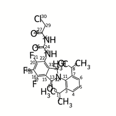 CC(C)c1cccc(C(C)C)c1N1C(=O)c2c(F)c(F)c(F)c(NC(=O)NC(=O)CCl)c2C1=O